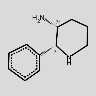 N[C@@H]1CCCN[C@@H]1c1ccccc1